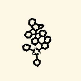 c1ccc(-c2nc(-c3ccccc3)nc(-c3ccc4ccccc4c3-c3cccc4c3-c3ccccc3C43c4ccccc4-c4c3c3ccccc3c3ccccc43)n2)cc1